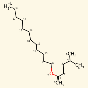 C=C(CCC(C)C)OCCCCCCCCCCCC